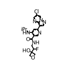 CC(C)Nc1cc(-c2cnn3cc(Cl)cnc23)ncc1C(=O)NCC(F)C1(O)COC1